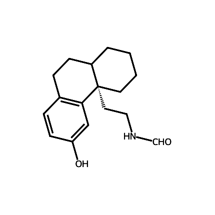 O=CNCC[C@@]12CCCCC1CCc1ccc(O)cc12